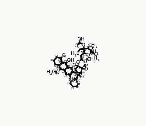 CCC(OC(=O)O)(C(C)C)C(CC(OC)O[C@@]12Oc3c(c(C)cc4c(OC)c5c(c(O)c34)C(=O)CCC5)C3C1OC1(C4OCCCO4)OC31[C@]21CO1)OC(C)=O